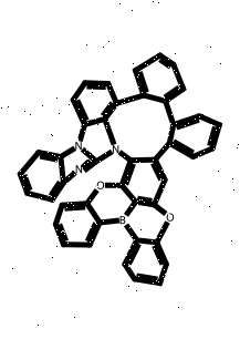 c1ccc2c(c1)Oc1cc3c4ccccc4c4ccccc4c4cccc5c4n(c3c3c1B2c1ccccc1O3)c1nc2ccccc2n51